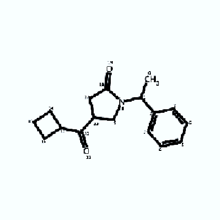 CC(c1ccccc1)N1CC(C(=O)C2CCC2)CC1=O